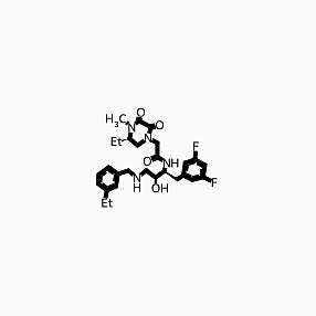 CCc1cccc(CNC[C@H](O)[C@H](Cc2cc(F)cc(F)c2)NC(=O)CN2C[C@H](CC)N(C)C(=O)C2=O)c1